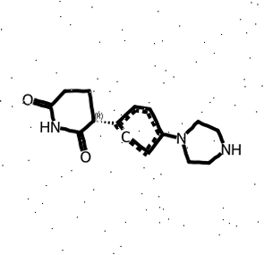 O=C1CC[C@H](c2ccc(N3CCNCC3)cc2)C(=O)N1